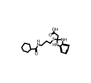 O=C(O)CC1(SCCCNC(=O)C2CCCCC2)Nc2ccccc2N1